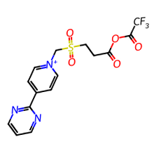 O=C(CCS(=O)(=O)C[n+]1ccc(-c2ncccn2)cc1)OC(=O)C(F)(F)F